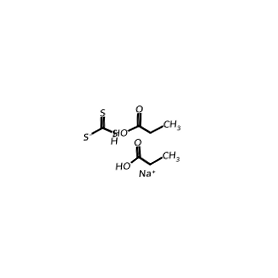 CCC(=O)O.CCC(=O)O.S=C([S-])S.[Na+]